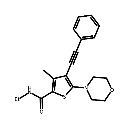 CCNC(=O)c1sc(N2CCOCC2)c(C#Cc2ccccc2)c1C